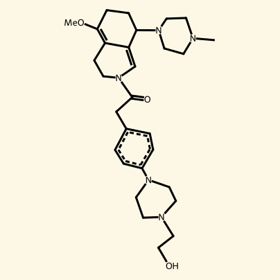 COC1=C2CCN(C(=O)Cc3ccc(N4CCN(CCO)CC4)cc3)C=C2C(N2CCN(C)CC2)CC1